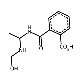 CC(NCO)NC(=O)c1ccccc1C(=O)O